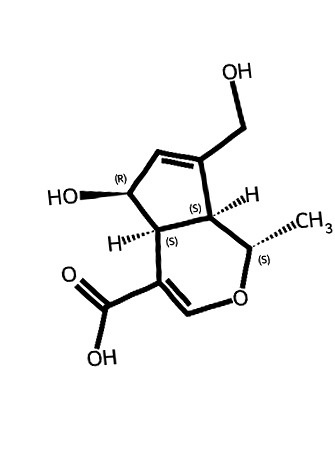 C[C@@H]1OC=C(C(=O)O)[C@@H]2[C@H]1C(CO)=C[C@@H]2O